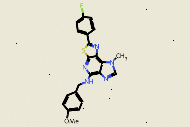 COc1ccc(CNc2nc3sc(-c4ccc(F)cc4)nc3c3c2ncn3C)cc1